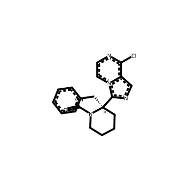 O=C(O)N1CCCC[C@]1(Cc1ccccc1)c1ncc2c(Cl)nccn12